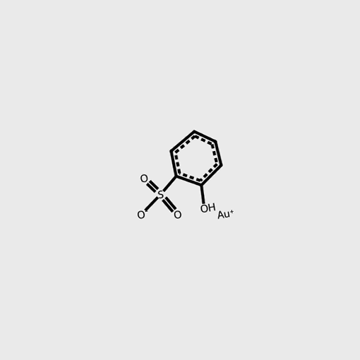 O=S(=O)([O-])c1ccccc1O.[Au+]